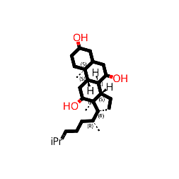 CC(C)CCC[C@@H](C)[C@H]1CC[C@H]2[C@@H]3C(O)CC4CC(O)CC[C@]4(C)[C@H]3CC(O)[C@]12C